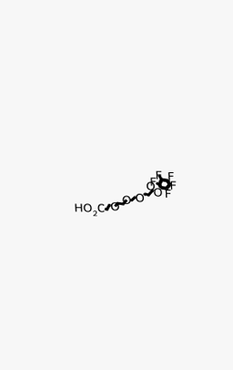 O=C(O)CCOCCOCCOCCC(=O)Oc1c(F)c(F)c(F)c(F)c1F